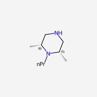 CCCN1[C@H](C)CNC[C@@H]1C